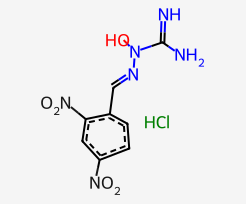 Cl.N=C(N)N(O)N=Cc1ccc([N+](=O)[O-])cc1[N+](=O)[O-]